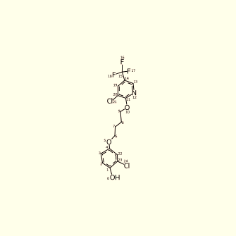 Oc1ccc(OCCCCOc2ncc(C(F)(F)F)cc2Cl)cc1Cl